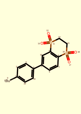 CC(C)(C)c1ccc(-c2ccc3c(c2)S(=O)(=O)CCS3(=O)=O)cc1